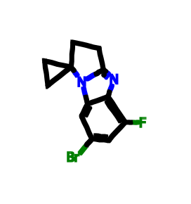 Fc1cc(Br)cc2c1nc1n2C2(CC1)CC2